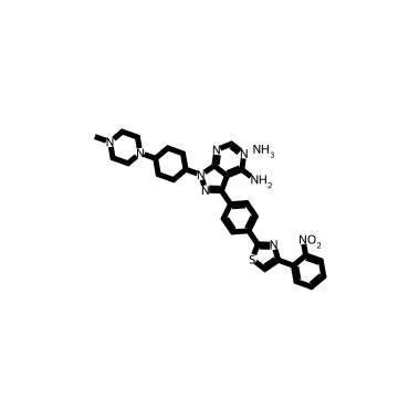 CN1CCN(C2CCC(n3nc(-c4ccc(-c5nc(-c6ccccc6[N+](=O)[O-])cs5)cc4)c4c(N)ncnc43)CC2)CC1.N